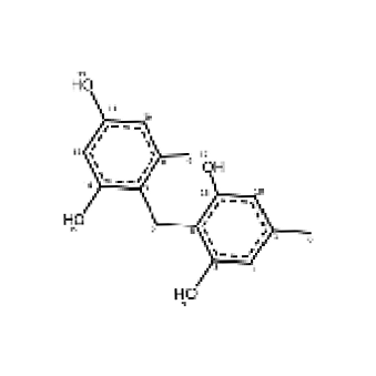 Cc1cc(O)c(Cc2c(C)cc(O)cc2O)c(O)c1